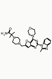 Cc1nc2ccccc2n1-c1nc(N2CCOCC2)c2oc(CN3CCN(C(C)(C)C(N)=O)CC3)cc2n1